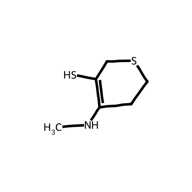 CNC1=C(S)CSCC1